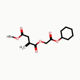 C=C(CC(=O)OCCCC)C(=O)OCC(=O)OC1CCCCC1